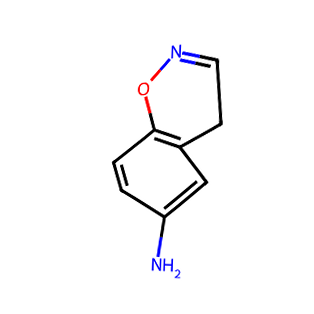 Nc1ccc2c(c1)CC=NO2